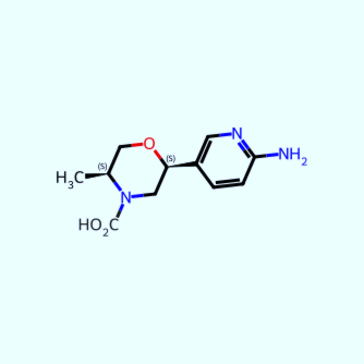 C[C@H]1CO[C@@H](c2ccc(N)nc2)CN1C(=O)O